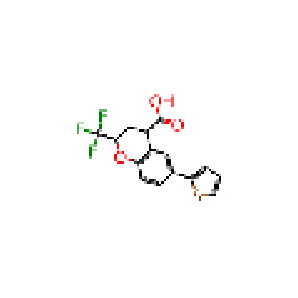 O=C(O)C1CC(C(F)(F)F)Oc2ccc(-c3cccs3)cc21